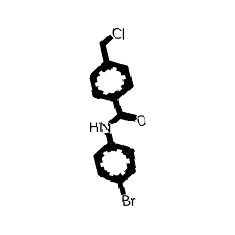 O=C(Nc1ccc(Br)cc1)c1ccc(CCl)cc1